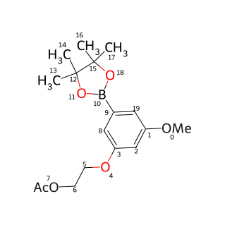 COc1cc(OCCOC(C)=O)cc(B2OC(C)(C)C(C)(C)O2)c1